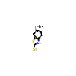 CCCCCCc1ccc2nc(S)sc2c1